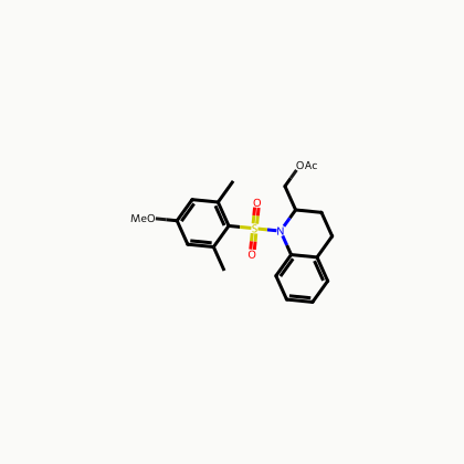 COc1cc(C)c(S(=O)(=O)N2c3ccccc3CCC2COC(C)=O)c(C)c1